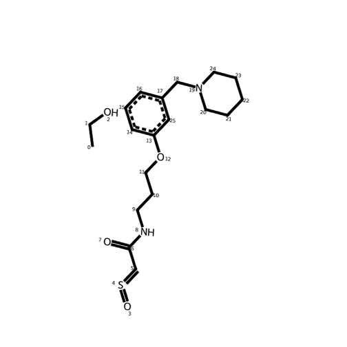 CCO.O=S=CC(=O)NCCCOc1cccc(CN2CCCCC2)c1